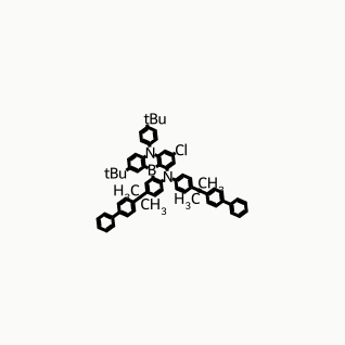 CC(C)(C)c1ccc(N2c3ccc(C(C)(C)C)cc3B3c4cc(C(C)(C)c5ccc(-c6ccccc6)cc5)ccc4N(c4ccc(C(C)(C)c5ccc(-c6ccccc6)cc5)cc4)c4cc(Cl)cc2c43)cc1